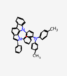 Cc1ccc(N(c2ccc(C)cc2)c2ccc(-n3c4ccccc4c4ccc5cc(-c6ccccc6)n(-c6ccccc6)c5c43)cc2)cc1